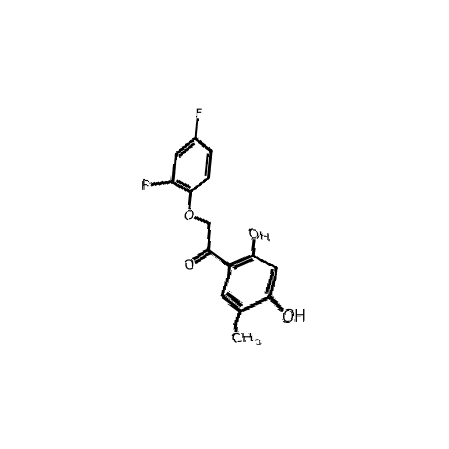 Cc1cc(C(=O)COc2ccc(F)cc2F)c(O)cc1O